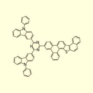 c1ccc(-n2c3ccccc3c3cc(-c4nc(-c5ccc6c(c5)c5ccccc5c5c6ccc6c5sc5ccc7ccccc7c56)nc(-c5ccc6c(c5)c5ccccc5n6-c5ccccc5)n4)ccc32)cc1